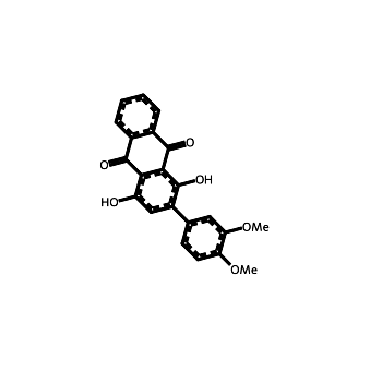 COc1ccc(-c2cc(O)c3c(c2O)C(=O)c2ccccc2C3=O)cc1OC